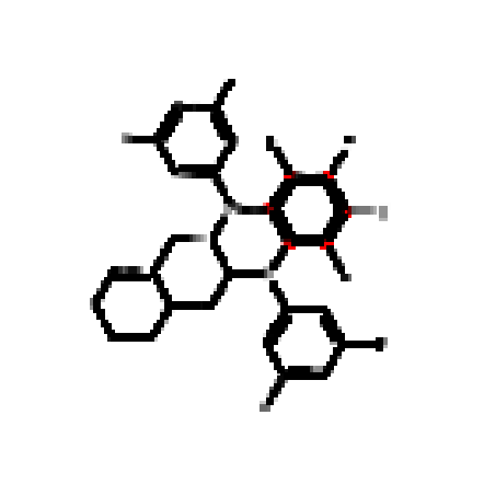 Fc1cc(F)cc(P(c2cc(F)cc(F)c2)C2CC3=CCCCC3CC2P(c2cc(F)cc(F)c2)c2cc(F)cc(F)c2)c1